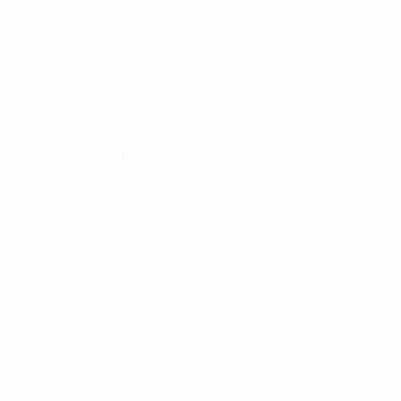 COc1ccc(COc2ccccc2C(=O)CCCc2ccccc2)cc1